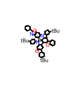 CC(C)(C)c1ccc(N2B3c4cc5nc(-c6ccccc6)oc5cc4-n4c5ccc(C(C)(C)C)cc5c5c6c(oc7ccccc76)c(c3c54)-c3cc4c(cc32)oc2cc(C(C)(C)C)ccc24)cc1